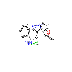 Cl.NCCc1c(-c2ccccc2)nn2ccc3occc3c12